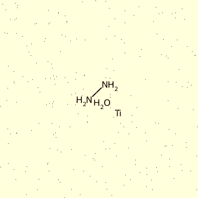 NN.O.[Ti]